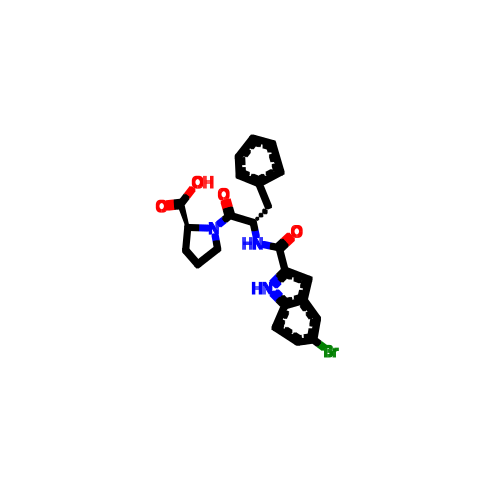 O=C(N[C@@H](Cc1ccccc1)C(=O)N1CCC[C@H]1C(=O)O)c1cc2cc(Br)ccc2[nH]1